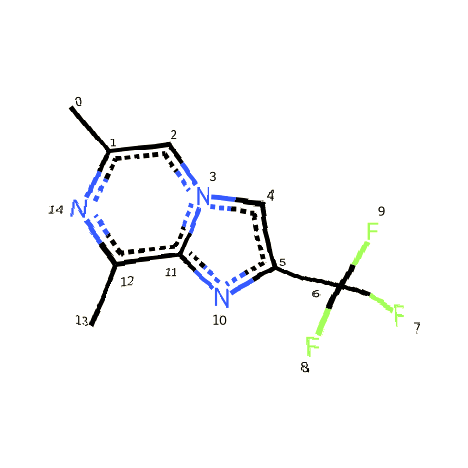 Cc1cn2cc(C(F)(F)F)nc2c(C)n1